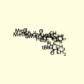 C=C(C)C(=O)OC(C)(C)C.C=C(C)C(=O)OCCC[Si](OC)(OC)OC.CC(=CC1(C(=O)O)C2C=CC(C2)C1C)C(=O)O